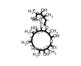 CCC1OC(O)[C@H](C)C(OCC[C@](C)(OC)C(O)C(C)O)C(C)C(O)C(C)CC(C)CNC(C)C(O)[C@@H]1C